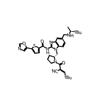 C[C@H](NCc1ccc2c(c1)nc(NC(=O)c1ccc(-c3cnco3)s1)n2C[C@H]1CCCN1C(=O)/C(C#N)=C/C(C)(C)C)C(C)(C)C